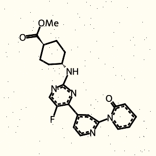 COC(=O)[C@H]1CC[C@H](Nc2ncc(F)c(-c3ccnc(-n4ccccc4=O)c3)n2)CC1